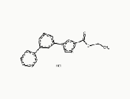 CCOC(=O)c1cn(-c2cccc(-c3ccccc3)c2)cn1.Cl